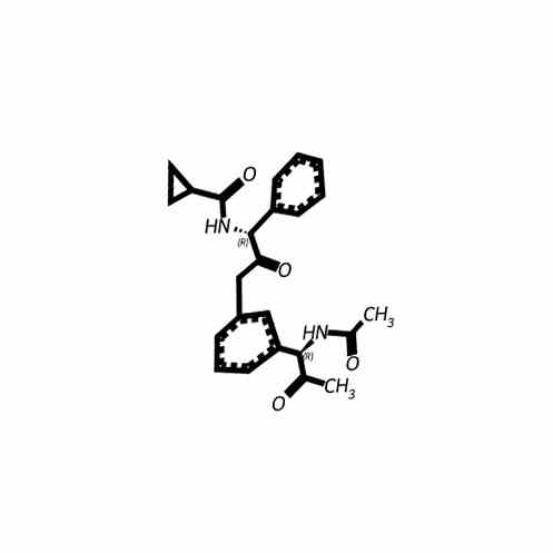 CC(=O)N[C@@H](C(C)=O)c1cccc(CC(=O)[C@H](NC(=O)C2CC2)c2ccccc2)c1